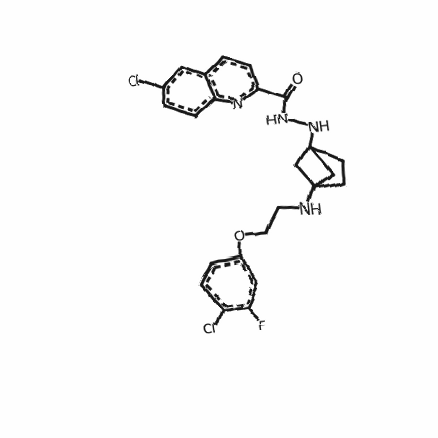 O=C(NNC12CCC(NCCOc3ccc(Cl)c(F)c3)(C1)C2)c1ccc2cc(Cl)ccc2n1